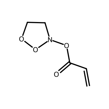 C=CC(=O)ON1CCOO1